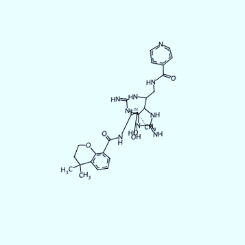 CC1(C)CCOc2c(C(=O)NC3CN4C(=N)NC(CNC(=O)c5ccncc5)C5NC(=N)N(O)C54[C@@]3(C)O)cccc21